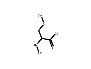 CCNC(CSC(C)C)C(=O)CC